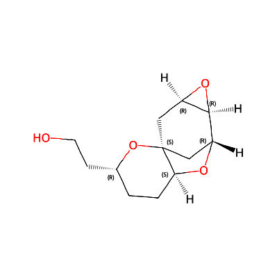 OCC[C@H]1CC[C@@H]2O[C@@H]3C[C@]2(C[C@H]2O[C@H]23)O1